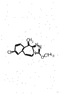 C=C1c2ccc(Cl)cc2C=Cn2c(OC)nnc21